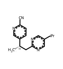 CC(C)c1cnc(C[C@H](C)c2ccc(C#N)nc2)nc1